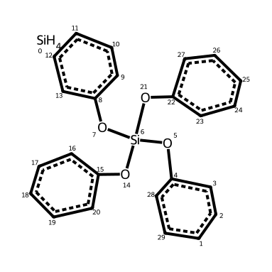 [SiH4].c1ccc(O[Si](Oc2ccccc2)(Oc2ccccc2)Oc2ccccc2)cc1